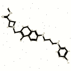 COC(=O)C1CN(CC2=C(C)c3ccc(OCCCOc4ccc(F)cc4)cc3CC2)C1